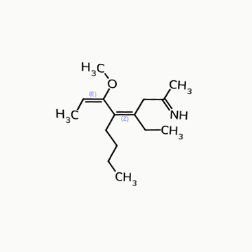 C/C=C(OC)\C(CCCC)=C(\CC)CC(C)=N